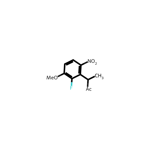 COc1ccc([N+](=O)[O-])c(C(C)C(C)=O)c1F